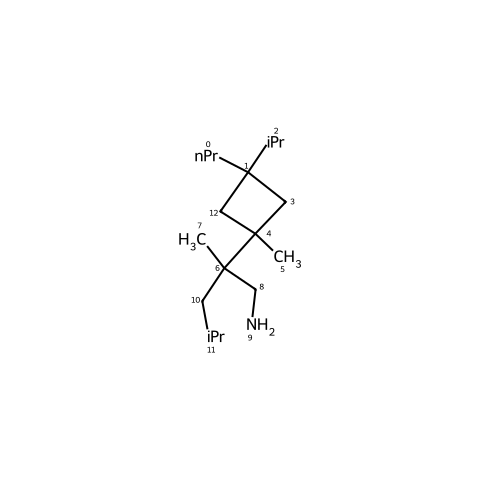 CCCC1(C(C)C)CC(C)(C(C)(CN)CC(C)C)C1